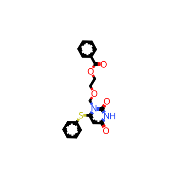 O=C(OCCOCn1c(Sc2ccccc2)cc(=O)[nH]c1=O)c1ccccc1